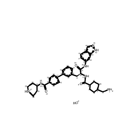 Cl.NCC1CCC(C(=O)N[C@@H](Cc2cccc(-c3ccc(C(=O)NC4CCNCC4)cc3)c2)C(=O)Nc2ccc3cn[nH]c3c2)CC1